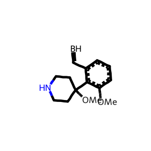 B=Cc1cccc(OC)c1C1(OC)CCNCC1